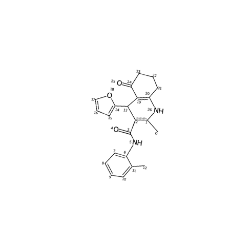 CC1=C(C(=O)Nc2ccccc2C)C(c2ccco2)C2=C(CCCC2=O)N1